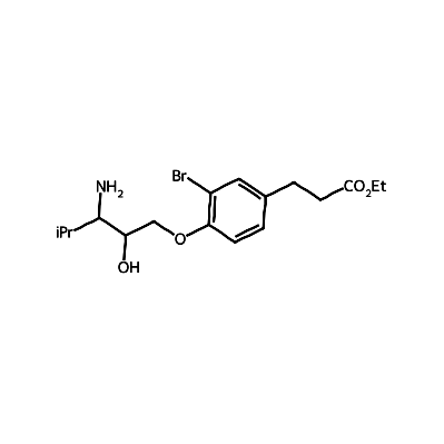 CCOC(=O)CCc1ccc(OCC(O)C(N)C(C)C)c(Br)c1